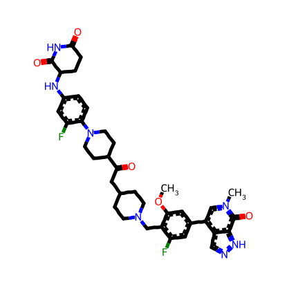 COc1cc(-c2cn(C)c(=O)c3[nH]ncc23)cc(F)c1CN1CCC(CC(=O)C2CCN(c3ccc(NC4CCC(=O)NC4=O)cc3F)CC2)CC1